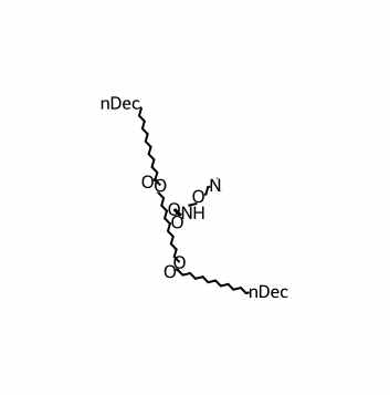 CCCCCCCCCCCCCCCCCCCCCC(=O)OCCCCCC(CCCCCOC(=O)CCCCCCCCCCCCCCCCCCCCC)OC(=O)NCCOCCN(C)C